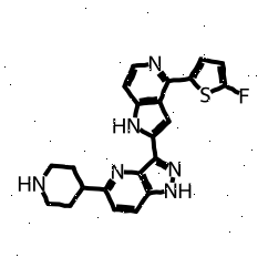 Fc1ccc(-c2nccc3[nH]c(-c4n[nH]c5ccc(C6CCNCC6)nc45)cc23)s1